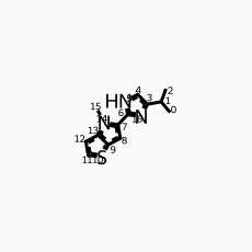 CC(C)c1c[nH]c(-c2cc3sccc3n2C)n1